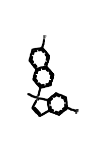 CS1(c2ccc3cc(F)ccc3c2)C=Cc2cc(F)ccc21